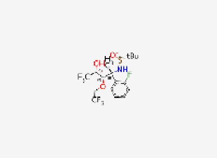 CC(C)(C)[S@@+]([O-])N[C@](C)(c1ccccc1F)[C@@H](OCC(F)(F)F)[C@H](O)C(F)(F)F